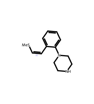 CS/C=C\c1ccccc1N1CCNCC1